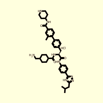 Cc1cc(C(=O)NC2CCNCC2)ccc1-c1ccc(C[C@H](NC(=O)C2CCC(CN)CC2)C(=O)Nc2ccc(-c3nnc(CC(C)C)[nH]3)cc2)cc1.Cl